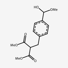 COC(=O)C(Cc1ccc(C(O)OC)cc1)C(=O)OC